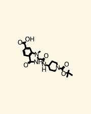 CN1c2cc(C(=O)O)ccc2C(=O)NC1C(=O)NC1CCN(C(=O)OC(C)(C)C)CC1